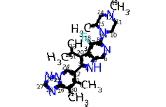 Cc1c(-c2[nH]c3cnc(N4CCN(C)CC4C)c(F)c3c2C(C)C)cn2ncnc2c1C